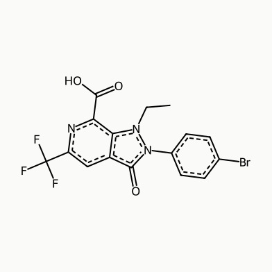 CCn1c2c(C(=O)O)nc(C(F)(F)F)cc2c(=O)n1-c1ccc(Br)cc1